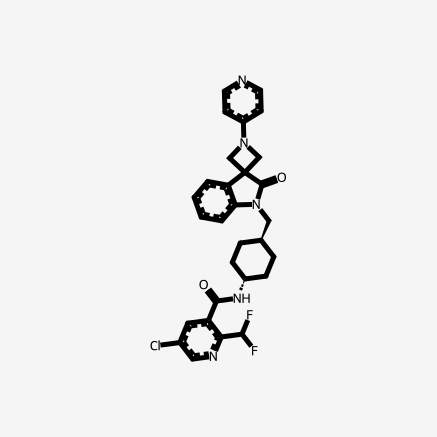 O=C(N[C@H]1CC[C@H](CN2C(=O)C3(CN(c4ccncc4)C3)c3ccccc32)CC1)c1cc(Cl)cnc1C(F)F